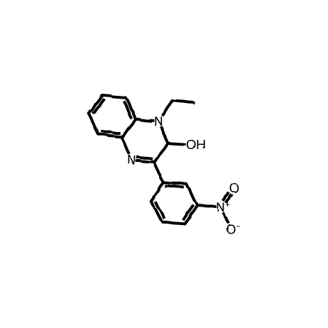 CCN1c2ccccc2N=C(c2cccc([N+](=O)[O-])c2)C1O